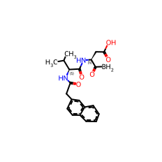 BC(=O)[C@H](CC(=O)O)NC(=O)[C@@H](NC(=O)Cc1ccc2ccccc2c1)C(C)C